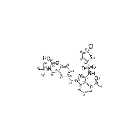 CC(=O)c1cccc2c1c(NS(=O)(=O)c1ccc(Cl)s1)nn2Cc1cccc(CN(C(=O)O)C(C)(C)C)c1